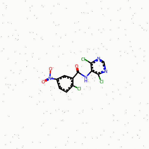 O=C(Nc1c(Cl)ncnc1Cl)c1cc([N+](=O)[O-])ccc1Cl